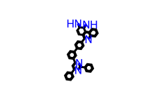 N=C1C=Cc2c(-c3ccc(-c4cccc(-c5cc(-c6ccccc6)nc(-c6ccccc6)n5)c4)cc3)nc3ccccc3c2C1=N